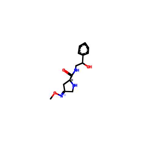 CO/N=C1/CN[C@H](C(=O)NCC(O)c2ccccc2)C1